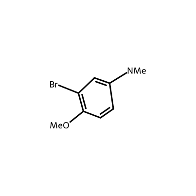 CNc1ccc(OC)c(Br)c1